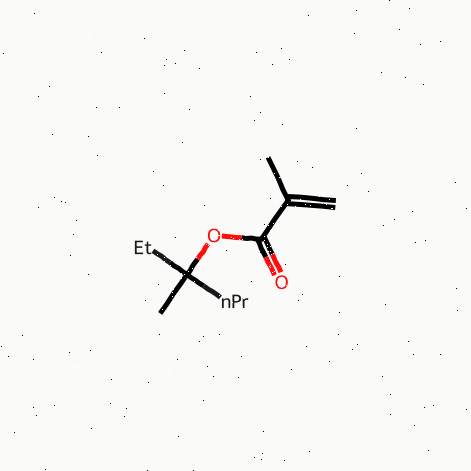 [CH2]CC(C)(CCC)OC(=O)C(=C)C